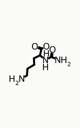 NCCCCC(NC(N)=O)C(=O)O